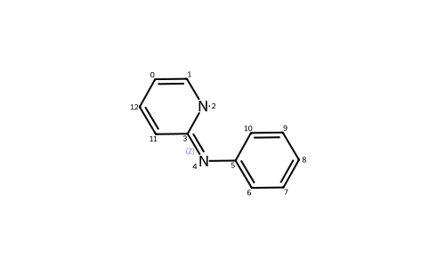 C1=C[N]/C(=N\c2ccccc2)C=C1